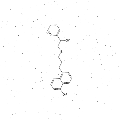 Oc1cccc2c(CCCSCC(O)c3ccccc3)cccc12